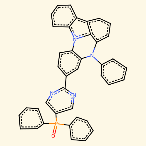 O=P(c1ccccc1)(c1ccccc1)c1cnc(-c2ccc3c(c2)N(c2ccccc2)c2cccc4c5ccccc5n-3c24)nc1